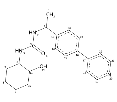 CC(NC(=O)NC1CCCCC1O)c1ccc(-c2ccncc2)cc1